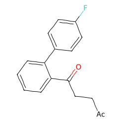 CC(=O)CCC(=O)c1ccccc1-c1ccc(F)cc1